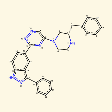 c1ccc(C[C@H]2CN(c3cnnc(-c4ccc5[nH]nc(-c6ccccc6)c5c4)n3)CCN2)cc1